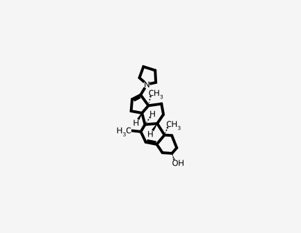 CC1C=C2C[C@@H](O)CC[C@]2(C)[C@H]2CC[C@]3(C)C(N4CCCC4)=CC[C@H]3[C@H]12